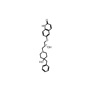 O=c1ccc2cc(OC[C@H](O)CN3CCC(O)(Cc4ccccc4)CC3)ccc2[nH]1